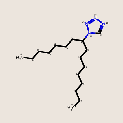 CCCCCCCCC(CCCCCCC)n1cnnn1